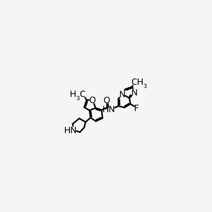 Cc1cn2cc(NC(=O)c3ccc(C4CCNCC4)c4cc(C)oc34)cc(F)c2n1